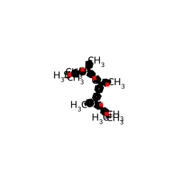 Cc1ccc(N(c2ccc(-c3ccc(N(c4ccc(C)cc4)c4ccc(-c5ccc([Si](C)(C)C)cc5)cc4)cc3)cc2)c2ccc(-c3ccc(N(c4ccc(C)cc4)c4ccc(-c5ccc([Si](C)(C)C)cc5)cc4)cc3)cc2)cc1